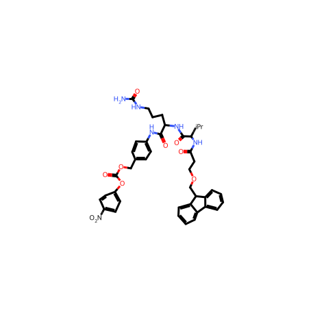 CC(C)C(NC(=O)CCOCC1c2ccccc2-c2ccccc21)C(=O)NC(CCCNC(N)=O)C(=O)Nc1ccc(COC(=O)Oc2ccc([N+](=O)[O-])cc2)cc1